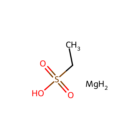 CCS(=O)(=O)O.[MgH2]